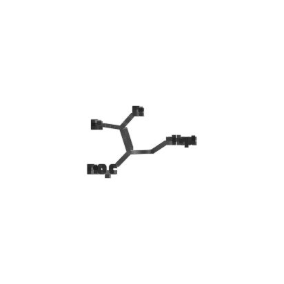 CCCCCCCCC(C(=O)OCC)=C(CC)CC